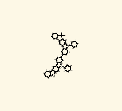 CC1(C)c2ccccc2-c2cc3c4cc(-c5ccc6c7cc8c(cc7n(-c7ccccc7)c6c5)sc5ccccc58)ccc4n(-c4ccccc4)c3cc21